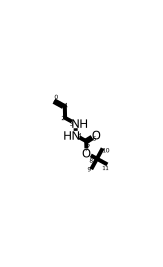 C=CCNNC(=O)OC(C)(C)C